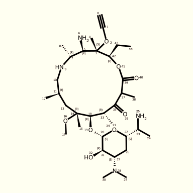 C#CO[C@@]1(C)[C@H](N)[C@@H](C)NC[C@H](C)C[C@@](C)(OC)[C@H](O[C@@H]2O[C@H](C(C)N)C[C@H](N(C)C)[C@H]2O)[C@@H](C)C(=O)C(C)C(=O)O[C@@H]1CC